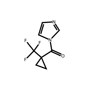 O=C(n1ccnc1)C1(C(F)(F)F)CC1